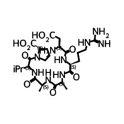 CC(C)[C@H](NC(=O)[C@H](C)NC(=O)[C@H](C)NC(=O)[C@H](CCCNC(=N)N)NC(=O)[C@@H](N)CC(=O)O)C(=O)N1CCC[C@H]1C(=O)O